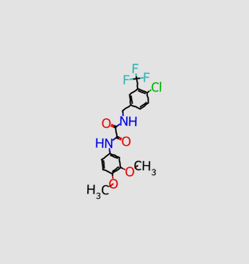 COc1ccc(NC(=O)C(=O)NCc2ccc(Cl)c(C(F)(F)F)c2)cc1OC